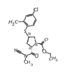 CCOC(=O)[C@@H]1C[C@H](Sc2ccc(Cl)cc2C)C[C@H]1C(=O)N(C)C#N